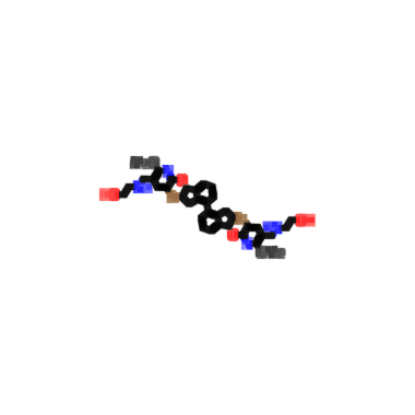 COc1nc(O[C@H]2CCc3c(-c4cccc5c4CC[C@@H]5Oc4nc(OC)c(CNCCO)cc4Br)cccc32)c(Br)cc1CNCCO